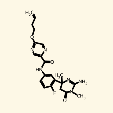 C=CCCOc1cnc(C(=O)Nc2ccc(F)c(C3(C)CC(=O)N(C)C(N)=N3)c2)cn1